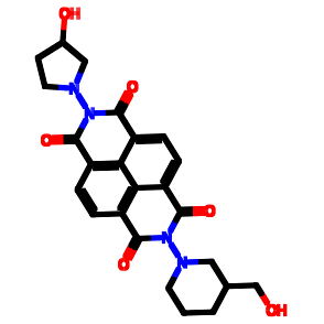 O=C1c2ccc3c4c(ccc(c24)C(=O)N1N1CCC(O)C1)C(=O)N(N1CCCC(CO)C1)C3=O